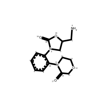 NCC1CN(c2ccccc2N2CCOCC2=O)C(=O)O1